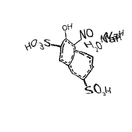 O.O=Nc1c(O)c(S(=O)(=O)O)cc2cc(S(=O)(=O)O)ccc12.[NaH].[NaH]